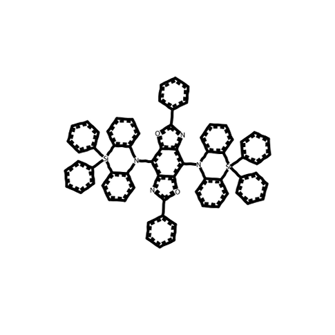 c1ccc(-c2nc3c(N4c5ccccc5[Si](c5ccccc5)(c5ccccc5)c5ccccc54)c4oc(-c5ccccc5)nc4c(N4c5ccccc5[Si](c5ccccc5)(c5ccccc5)c5ccccc54)c3o2)cc1